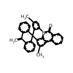 C=C1c2ccccc2C2(c3ccccc31)c1cc(C)ccc1-n1c(=O)c3ccccc3c3cc(C)cc2c31